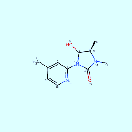 C[C@@H]1C(O)N(c2cc(C(F)(F)F)ccn2)C(=O)N1C